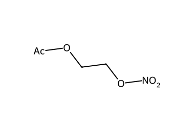 CC(=O)OCCO[N+](=O)[O-]